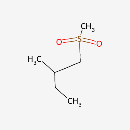 CCC(C)CS(C)(=O)=O